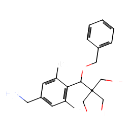 CC(C)(C)c1cc(CN)cc(C(C)(C)C)c1C(OCc1ccccc1)C(CO)(CO)CO